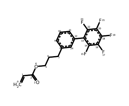 C=CC(=O)OCCCc1cccc(-c2c(F)c(F)c(F)c(F)c2F)c1